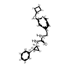 O=C(NCc1ccnc(OC2CCC2)c1)N[C@@H]1C[C@H]1c1ccccc1